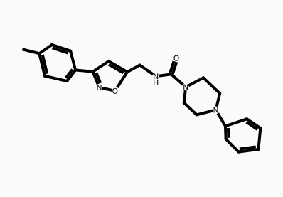 Cc1ccc(-c2cc(CNC(=O)N3CCN(c4ccccc4)CC3)on2)cc1